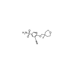 N#Cc1cc(S(N)(=O)=O)cnc1OCC1(F)CCOCC1